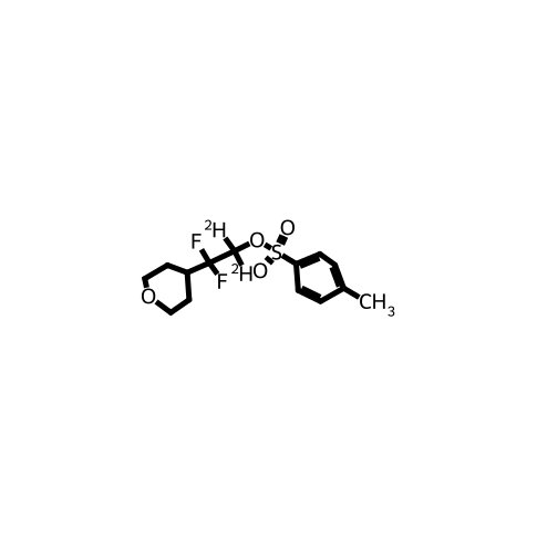 [2H]C([2H])(OS(=O)(=O)c1ccc(C)cc1)C(F)(F)C1CCOCC1